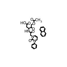 CC(=O)OCC(=O)C(CC(=O)O)NC(=O)CN1C=CCN(c2ccccc2)C1=O.c1ccc2ccccc2c1